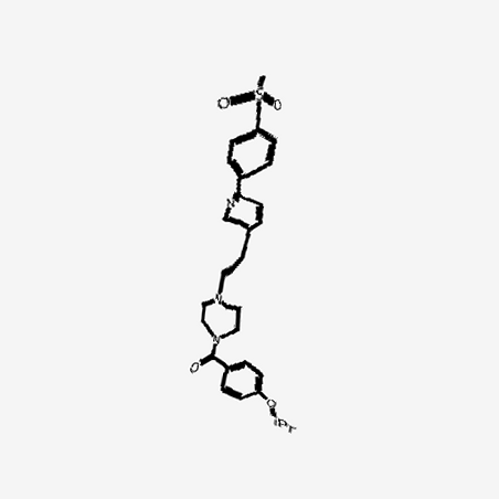 CC(C)Oc1ccc(C(=O)N2CCN(CCc3ccc(-c4ccc(S(C)(=O)=O)cc4)nc3)CC2)cc1